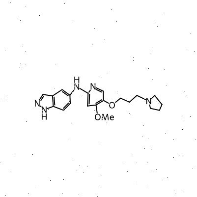 COc1cc(Nc2ccc3[nH]ncc3c2)ncc1OCCCN1CCCC1